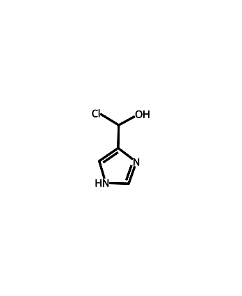 OC(Cl)c1c[nH]cn1